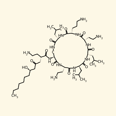 CCCCCCC[C@@H](O)CC(=O)C[C@H](CCN)C(=O)N[C@H]1CNC(=O)[C@H](CC(C)C)NC(=O)[C@H](CCCN)NC(=O)[C@H](CCN)NC(=O)[C@H](CC(C)C)NC(=O)[C@@H](CC(C)C)NC(=O)[C@H](CCN)NC1=O